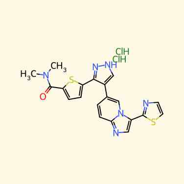 CN(C)C(=O)c1ccc(-c2n[nH]cc2-c2ccc3ncc(-c4nccs4)n3c2)s1.Cl.Cl